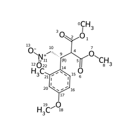 COC(=O)C(C(=O)OC)[C@@H](C[N+](=O)[O-])c1ccc(OC)cc1C